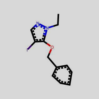 CCn1ncc(I)c1OCc1ccccc1